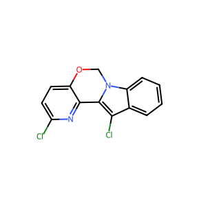 Clc1ccc2c(n1)-c1c(Cl)c3ccccc3n1CO2